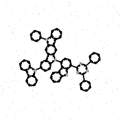 c1ccc(-c2nc(-c3ccccc3)nc(-c3ccc(-n4c5ccc(-n6c7ccccc7c7ccccc76)cc5c5cc6c(cc54)c4ccccc4n6-c4ccccc4)c4c3sc3ccccc34)n2)cc1